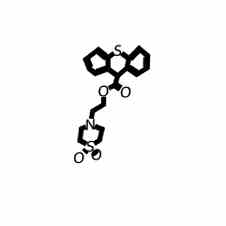 O=C(OCCN1CCS(=O)(=O)CC1)C1c2ccccc2Sc2ccccc21